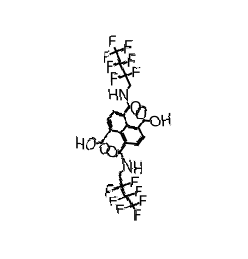 O=C(O)c1ccc(C(=O)NCC(F)(F)C(F)(F)C(F)(F)F)c2c(C(=O)O)ccc(C(=O)NCC(F)(F)C(F)(F)C(F)(F)F)c12